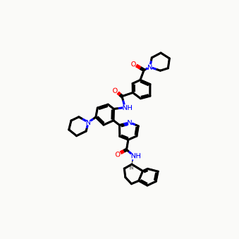 O=C(Nc1ccc(N2CCCCC2)cc1-c1cc(C(=O)N[C@H]2CCCc3ccccc32)ccn1)c1cccc(C(=O)N2CCCCC2)c1